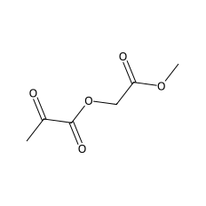 COC(=O)COC(=O)C(C)=O